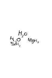 O.O.[MgH2].[SrH2]